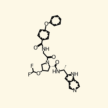 C[C@@H](NC(=O)[C@@H]1C[C@@H](OC(F)F)CN1C(=O)CNC(=O)c1ccc(Oc2ccccc2)cc1)c1cc2cnccc2[nH]1